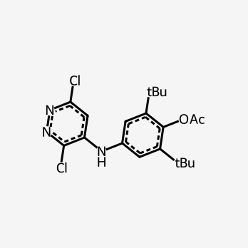 CC(=O)Oc1c(C(C)(C)C)cc(Nc2cc(Cl)nnc2Cl)cc1C(C)(C)C